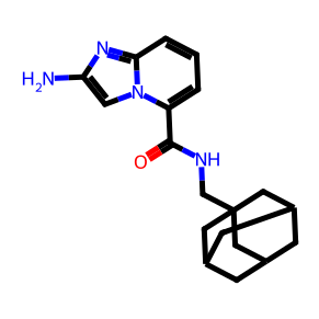 Nc1cn2c(C(=O)NCC34CC5CC(CC(C5)C3)C4)cccc2n1